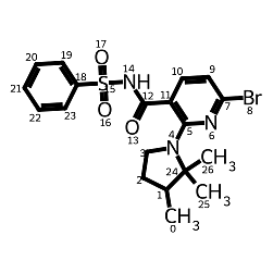 CC1CCN(c2nc(Br)ccc2C(=O)NS(=O)(=O)c2ccccc2)C1(C)C